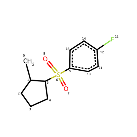 CC1CCCC1S(=O)(=O)c1ccc(F)cc1